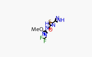 COc1nn(CC(F)F)cc1NC(=O)c1csc(-c2cn[nH]c2)n1